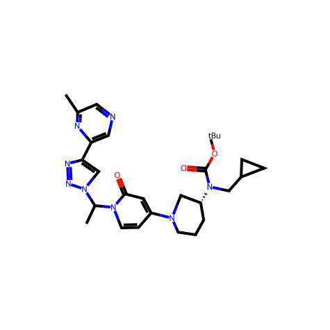 Cc1cncc(-c2cn(C(C)n3ccc(N4CCC[C@@H](N(CC5CC5)C(=O)OC(C)(C)C)C4)cc3=O)nn2)n1